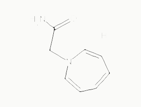 NC(=O)CN1C=CC=CC=C1.[H+]